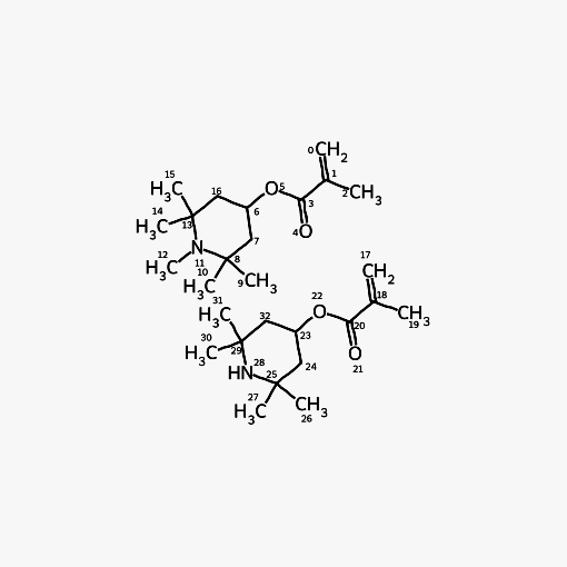 C=C(C)C(=O)OC1CC(C)(C)N(C)C(C)(C)C1.C=C(C)C(=O)OC1CC(C)(C)NC(C)(C)C1